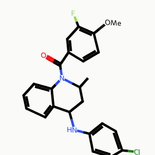 COc1ccc(C(=O)N2c3ccccc3C(Nc3ccc(Cl)cc3)CC2C)cc1F